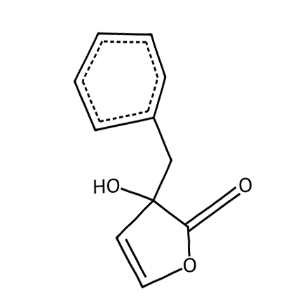 O=C1OC=CC1(O)Cc1ccccc1